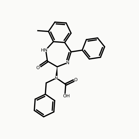 Cc1cccc2c1NC(=O)[C@H](N(Cc1ccccc1)C(=O)O)N=C2c1ccccc1